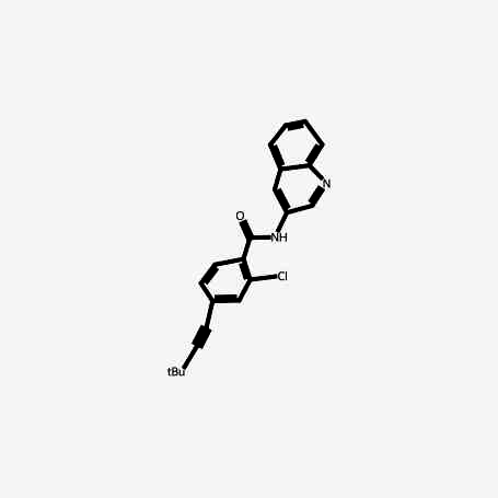 CC(C)(C)C#Cc1ccc(C(=O)Nc2cnc3ccccc3c2)c(Cl)c1